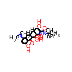 CCCC(C)(C)NC(=O)C1=C(O)C[C@@H]2C[C@@H]3Cc4c(N(C)C)ccc(O)c4C(=O)C3=C(O)[C@]2(O)C1=O